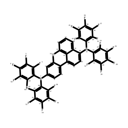 Fc1c(F)c(F)c(B(c2ccc3c(c2)Oc2cccc4c(B(c5c(F)c(F)c(F)c(F)c5F)c5c(F)c(F)c(F)c(F)c5F)ccc-3c24)c2c(F)c(F)c(F)c(F)c2F)c(F)c1F